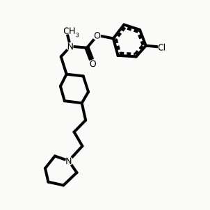 CN(CC1CCC(CCCN2CCCCC2)CC1)C(=O)Oc1ccc(Cl)cc1